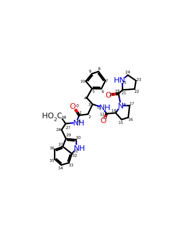 O=C(CC(Cc1ccccc1)NC(=O)C1CCCN1C(=O)C1CCCN1)NC(Cc1c[nH]c2ccccc12)C(=O)O